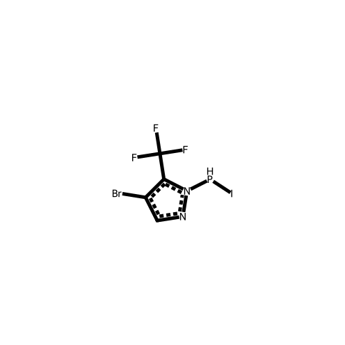 FC(F)(F)c1c(Br)cnn1PI